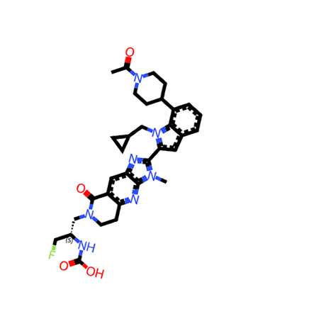 CC(=O)N1CCC(c2cccc3cc(-c4nc5cc6c(nc5n4C)CCN(C[C@@H](CF)NC(=O)O)C6=O)n(CC4CC4)c23)CC1